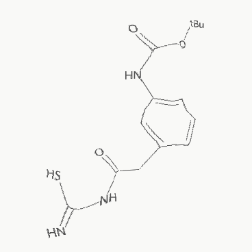 CC(C)(C)OC(=O)Nc1cccc(CC(=O)NC(=N)S)c1